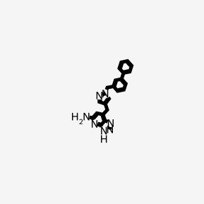 Nc1cc(Cc2cnn(Cc3cccc(-c4ccccc4)c3)c2)c2nn[nH]c2n1